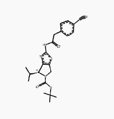 CC(C)[C@H]1c2nc(NC(=O)Cc3ccc(C#N)cc3)sc2CN1C(=O)OC(C)(C)C